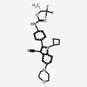 C[C@@H](OC(=O)Nc1ccc(-c2c(C#N)c3cc(N4CCOCC4)ccc3n2C2CCC2)cc1)C(F)(F)F